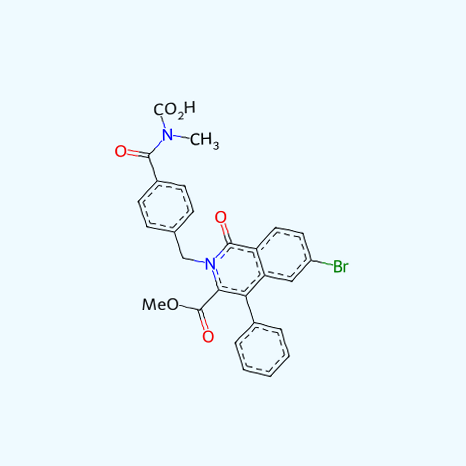 COC(=O)c1c(-c2ccccc2)c2cc(Br)ccc2c(=O)n1Cc1ccc(C(=O)N(C)C(=O)O)cc1